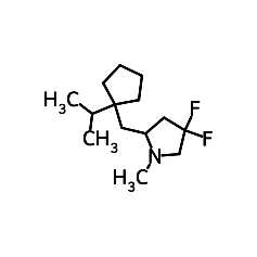 CC(C)C1(CC2CC(F)(F)CN2C)CCCC1